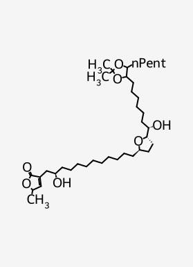 CCCCCC1OC(C)(C)OC1CCCCCC[C@H](O)[C@@H]1CC[C@@H](CCCCCCCCCC[C@@H](O)CC2=CC(C)OC2=O)O1